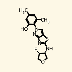 Cc1cc(C)c(-n2cc3sc(N[C@H]4COC[C@H]4F)nc3n2)c(O)c1